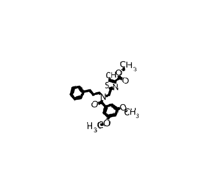 CCOC(=O)c1nc(CN(CCCc2ccccc2)C(=O)c2cc(OC)cc(OC)c2)sc1C